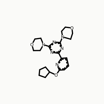 c1cc(OC2CCCC2)nc(-c2nc(N3CCOCC3)nc(N3CCOCC3)n2)c1